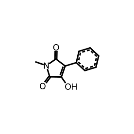 CN1C(=O)C(O)=C(c2ccccc2)C1=O